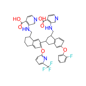 O=C(O)c1ccncc1NCC1CCCc2cc(Oc3cccc(C(F)(F)F)n3)c(C3Cc4cc(Oc5ccccc5F)ccc4C(CNc4cnccc4C(=O)O)C3)cc21